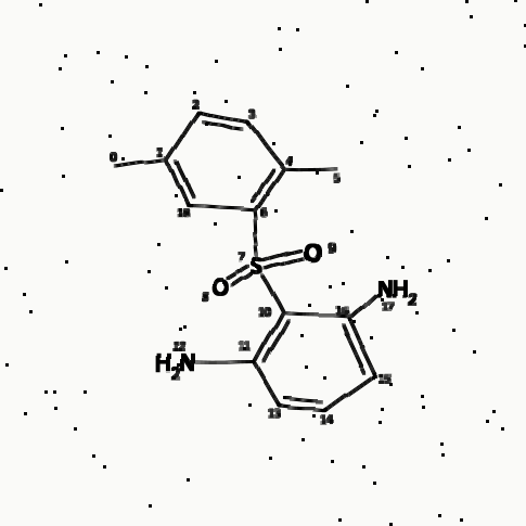 Cc1ccc(C)c(S(=O)(=O)c2c(N)cccc2N)c1